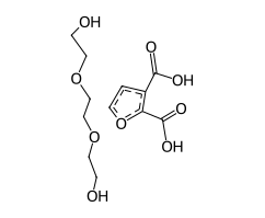 O=C(O)c1ccoc1C(=O)O.OCCOCCOCCO